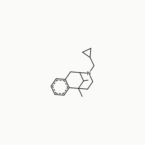 CC1C2Cc3ccccc3C1(C)CCN2CC1CC1